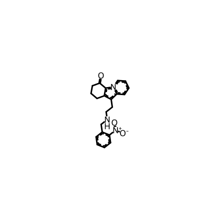 O=C1CCCc2c(CCNCc3ccccc3[N+](=O)[O-])c3ccccn3c21